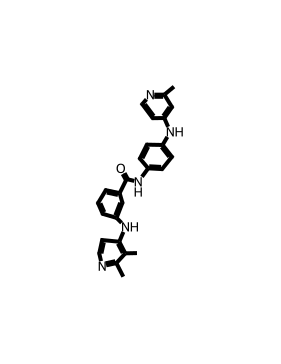 Cc1cc(Nc2ccc(NC(=O)c3cccc(Nc4ccnc(C)c4C)c3)cc2)ccn1